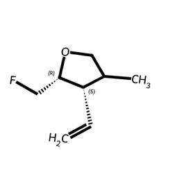 C=C[C@H]1C(C)CO[C@H]1CF